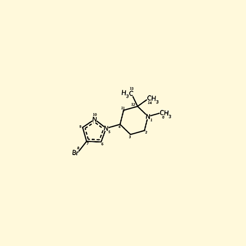 CN1CCC(n2cc(Br)cn2)CC1(C)C